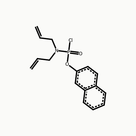 C=CCN(CC=C)P(=O)(Cl)Oc1ccc2ccccc2c1